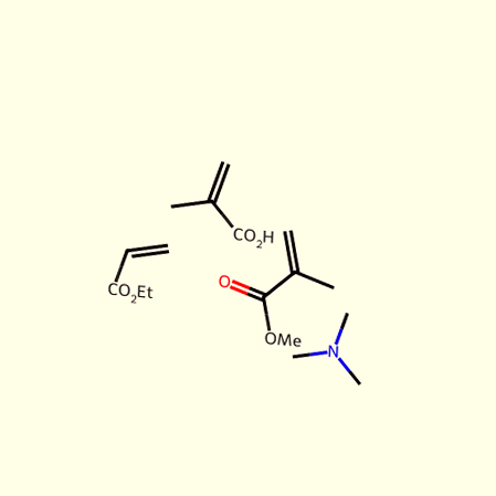 C=C(C)C(=O)O.C=C(C)C(=O)OC.C=CC(=O)OCC.CN(C)C